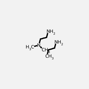 CCCN.CN(C)CCN